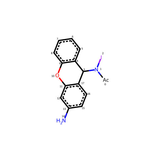 CC(=O)N(I)C1c2ccccc2Oc2cc(N)ccc21